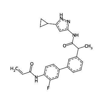 C=CC(=O)Nc1ccc(-c2cccc(C(C)C(=O)Nc3cc(C4CC4)[nH]n3)c2)cc1F